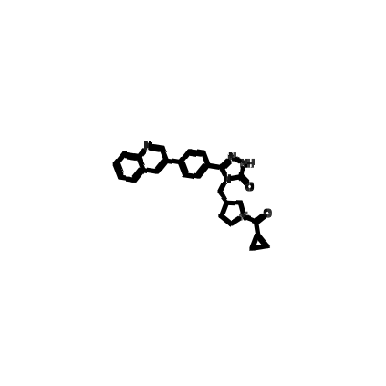 O=C(C1CC1)N1CC[C@@H](Cn2c(-c3ccc(-c4cnc5ccccc5c4)cc3)n[nH]c2=O)C1